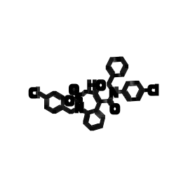 O=C(C1=C(O)CS(=O)(=O)N(Cc2ccc(Cl)cc2)c2ccccc21)N(Cc1ccccc1)c1ccc(Cl)cc1